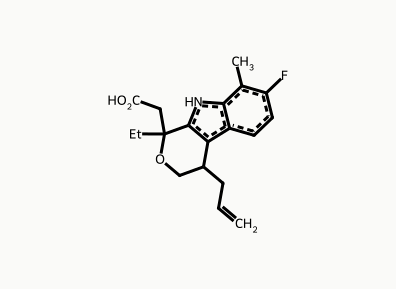 C=CCC1COC(CC)(CC(=O)O)c2[nH]c3c(C)c(F)ccc3c21